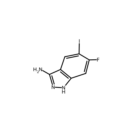 Nc1n[nH]c2cc(F)c(I)cc12